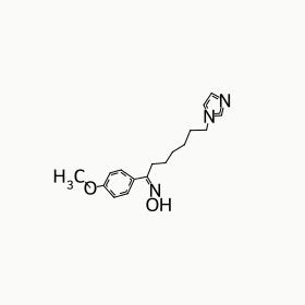 COc1ccc(/C(CCCCCCn2ccnc2)=N\O)cc1